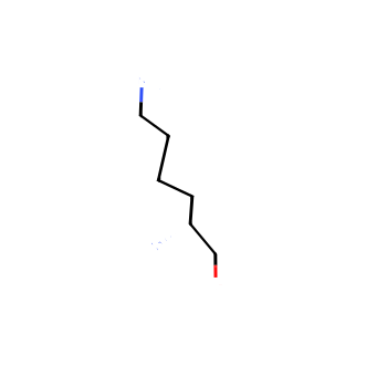 NCCCC[C@@H](N)CO